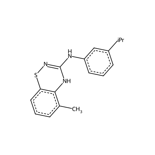 Cc1cccc2c1NC(Nc1cccc(C(C)C)c1)=NS2